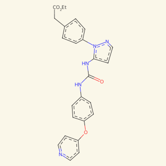 CCOC(=O)Cc1ccc(-n2nccc2NC(=O)Nc2ccc(Oc3ccncc3)cc2)cc1